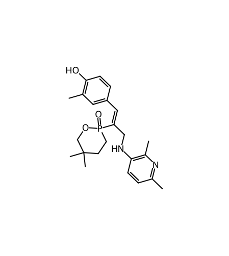 Cc1ccc(NC/C(=C/c2ccc(O)c(C)c2)P2(=O)CCC(C)(C)CO2)c(C)n1